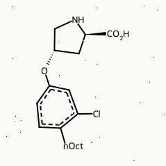 CCCCCCCCc1ccc(O[C@@H]2CN[C@@H](C(=O)O)C2)cc1Cl